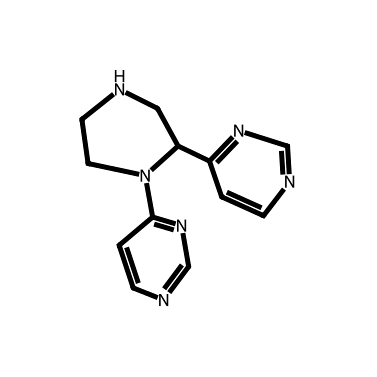 c1cc(C2CNCCN2c2ccncn2)ncn1